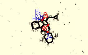 NNC(=O)c1ccc(N2[C@@H]3CC[C@H]2C[C@@H](OCc2c(-c4ccccc4OC(F)(F)F)noc2C2CC2)C3)cc1